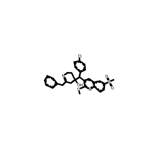 COc1nc2ccc(S(C)(=O)=O)cc2cc1C(c1ccc(Cl)cc1)C1(O)CCN=C(Cc2ccccc2)C1